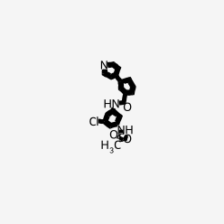 CS(=O)(=O)Nc1cc(Cl)cc(NC(=O)c2cccc(-c3ccncc3)c2)c1